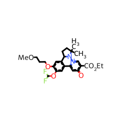 CCOC(=O)c1cn2c(cc1=O)-c1cc(OC(F)F)c(OCCCOC)cc1C1CCC(C)(C)N12